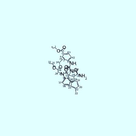 CCOC(=O)c1ccc(NC(=O)NC2(C(C(N)=O)c3ccc(C)cc3)C(=O)N(CC(OCC)OCC)c3ccccc32)cc1